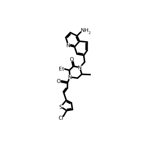 CCC1C(=O)N(Cc2ccc3c(N)ccnc3c2)C(C)CN1C(=O)C=Cc1ccc(Cl)s1